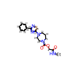 CCNC(=O)COC(=O)N1CCCN(c2nc(-c3ccccc3)ns2)CC1